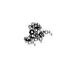 CCn1cc(S(=O)(=O)N2c3cc(N(C(=O)O)C(C)(C)C(F)(F)F)ccc3O[C@@H](CC(C)(C)C=O)[C@@H]2C)c(Cl)n1